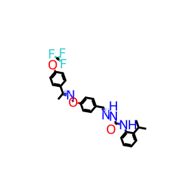 C/C(=N\Oc1ccc(/C=N/NC(=O)Nc2ccccc2C(C)C)cc1)c1ccc(OC(F)(F)F)cc1